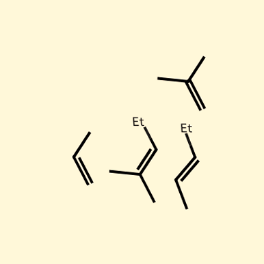 C=C(C)C.C=CC.CC=CCC.CCC=C(C)C